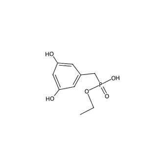 CCOP(=O)(O)Cc1cc(O)cc(O)c1